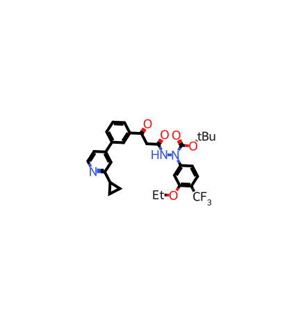 CCOc1cc(N(NC(=O)CC(=O)c2cccc(-c3ccnc(C4CC4)c3)c2)C(=O)OC(C)(C)C)ccc1C(F)(F)F